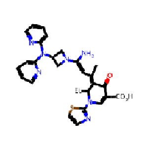 CCC1/C(=C(C)\C=C(/N)N2CC(N(c3ccccn3)c3ccccn3)C2)C(=O)C(C(=O)O)=CN1c1nccs1